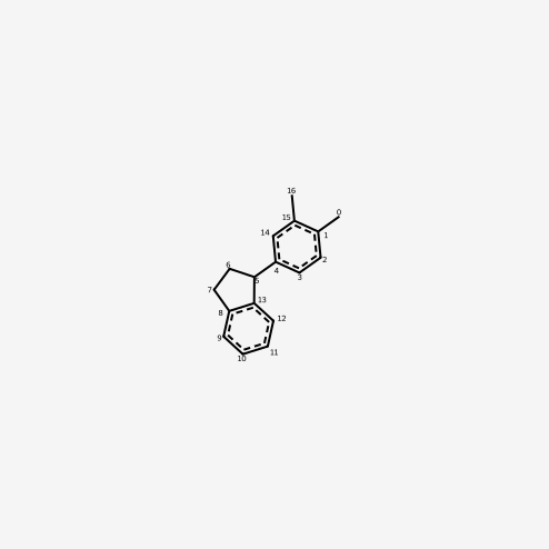 Cc1ccc(C2CCc3ccccc32)cc1C